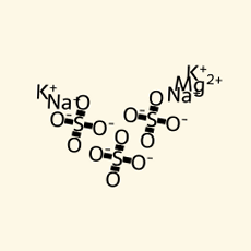 O=S(=O)([O-])[O-].O=S(=O)([O-])[O-].O=S(=O)([O-])[O-].[K+].[K+].[Mg+2].[Na+].[Na+]